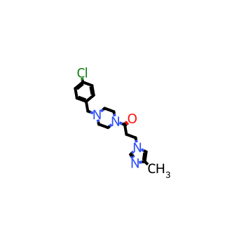 Cc1cn(CCC(=O)N2CCN(Cc3ccc(Cl)cc3)CC2)cn1